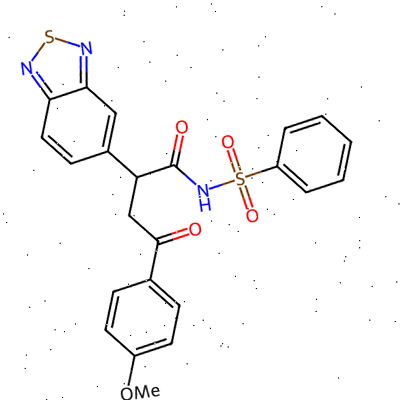 COc1ccc(C(=O)CC(C(=O)NS(=O)(=O)c2ccccc2)c2ccc3nsnc3c2)cc1